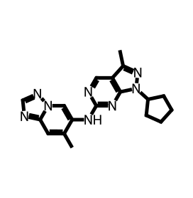 Cc1cc2ncnn2cc1Nc1ncc2c(C)nn(C3CCCC3)c2n1